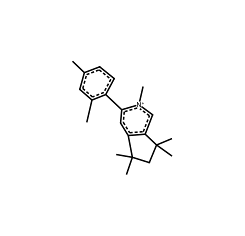 Cc1ccc(-c2cc3c(c[n+]2C)C(C)(C)CC3(C)C)c(C)c1